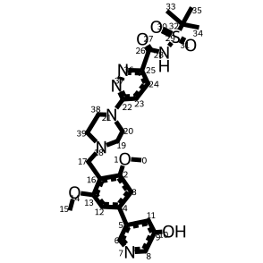 COc1cc(-c2cncc(O)c2)cc(OC)c1CN1CCN(c2ccc(C(=O)NS(=O)(=O)C(C)(C)C)nn2)CC1